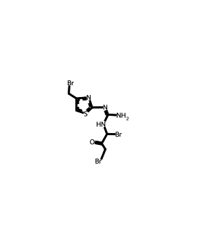 NC(=Nc1nc(CBr)cs1)NC(Br)C(=O)CBr